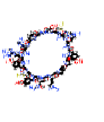 C[C@@H]1NC(=O)[C@H](Cc2c[nH]cn2)NC(=O)[C@H](Cc2ccc(O)cc2)NC(=O)[C@@H]2CCCN2C(=O)[C@H]2CCCN2C(=O)[C@H](CCCCN)NC(=O)[C@H](CCC(N)=O)NC(=O)[C@H](Cc2ccc(O)cc2)NC(=O)[C@H](CS)NC(=O)[C@H](Cc2ccc(O)cc2)NC(=O)[C@H](CCCNC(=N)N)NC(=O)[C@H](CCN)NC(=O)[C@H]2CCCN2C(=O)[C@H](C)NC(=O)[C@H](CO)NC(=O)[C@H](CS)NC1=O